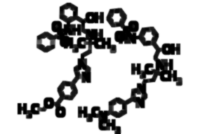 CCOC(=O)c1ccc(-c2cn(CCC(C)(C)NCC(O)c3ccccc3NS(=O)(=O)c3ccccc3)cn2)cc1.CN(C)c1ccc(-c2cn(CCC(C)(C)NCC(O)c3cccc(NS(=O)(=O)c4ccccc4)c3)cn2)cc1